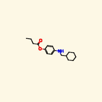 CCCC(=O)Oc1ccc(NCC2CCCCC2)cc1